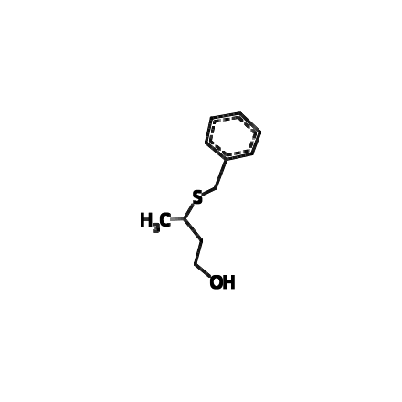 CC(CCO)SCc1ccccc1